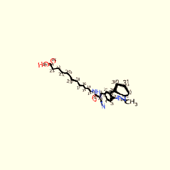 CN1c2ccc(/C=C(\C#N)C(=O)NCCCCCCCCCCCC(=O)O)cc2C2CCCC21